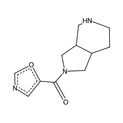 O=C(c1cnco1)N1CC2CCNCC2C1